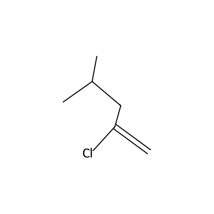 C=C(Cl)CC(C)C